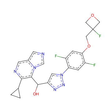 OC(c1cn(-c2cc(F)c(OCC3(F)COC3)cc2F)nn1)c1c(C2CC2)ncc2cncn12